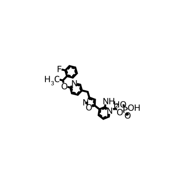 CC(Oc1ccc(Cc2cc(-c3ccc[n+](COP(=O)(O)O)c3N)on2)cn1)c1ccccc1F